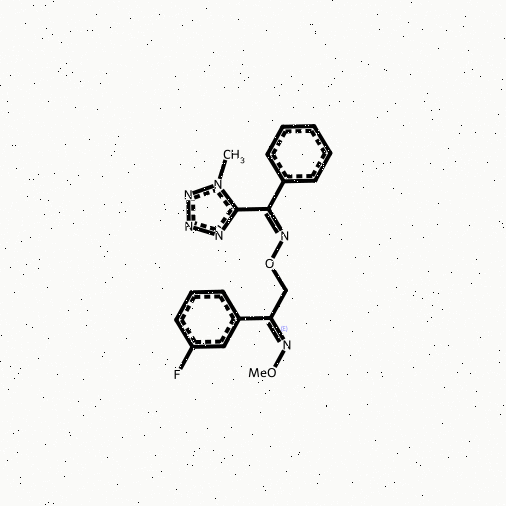 CO/N=C(/CON=C(c1ccccc1)c1nnnn1C)c1cccc(F)c1